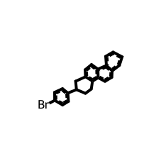 Brc1ccc(C2CCc3c(ccc4c3ccc3ccccc34)C2)cc1